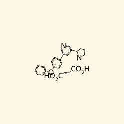 CN1CCCC1c1cncc(-c2ccc(Oc3ccccc3)cc2)c1.O=C(O)C=CC(=O)O